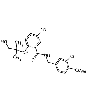 COc1ccc(CNC(=O)c2cc(C#N)ccc2NC(C)(C)CO)cc1Cl